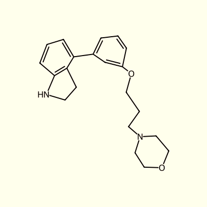 c1cc(OCCCN2CCOCC2)cc(-c2cccc3c2CCN3)c1